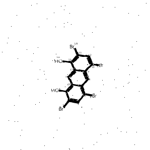 Oc1c(Br)cc(Br)c2cc3c(Br)cc(Br)c(O)c3cc12